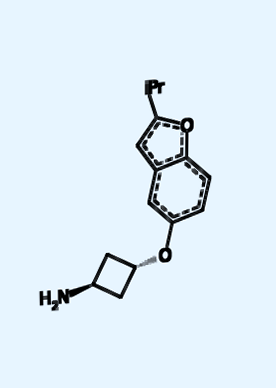 CC(C)c1cc2cc(O[C@H]3C[C@H](N)C3)ccc2o1